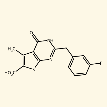 Cc1c(C(=O)O)sc2nc(Cc3cccc(F)c3)[nH]c(=O)c12